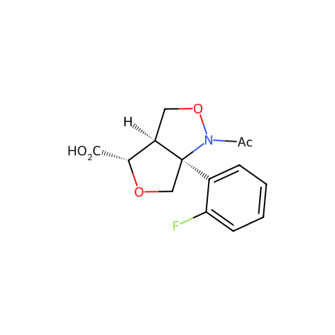 CC(=O)N1OC[C@@H]2[C@@H](C(=O)O)OC[C@@]21c1ccccc1F